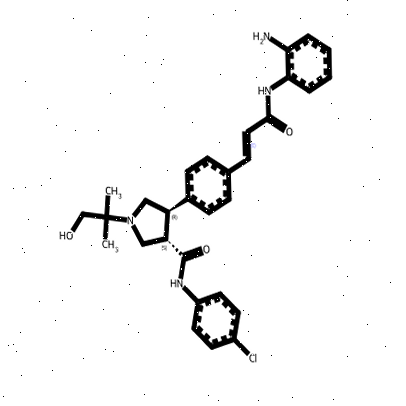 CC(C)(CO)N1C[C@@H](C(=O)Nc2ccc(Cl)cc2)[C@H](c2ccc(/C=C/C(=O)Nc3ccccc3N)cc2)C1